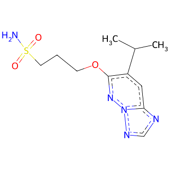 CC(C)c1cc2ncnn2nc1OCCCS(N)(=O)=O